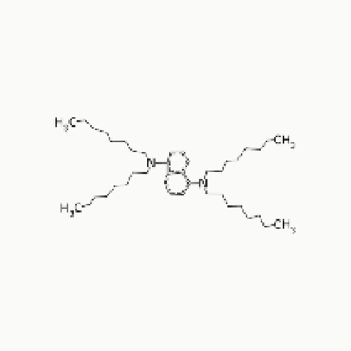 CCCCCCCCN(CCCCCCCC)c1cccc2c(N(CCCCCCCC)CCCCCCCC)cccc12